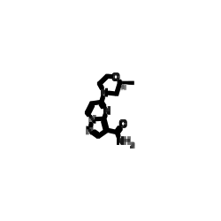 C[C@H]1CN(c2ccn3ncc(C(N)=O)c3n2)CCO1